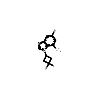 FC1(F)CC(n2cnc3cc(Br)cc(C(F)(F)F)c32)C1